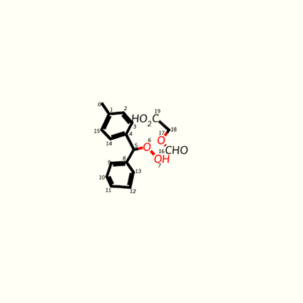 Cc1ccc(C(OO)c2ccccc2)cc1.O=COCC(=O)O